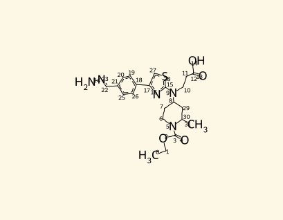 CCOC(=O)N1CCC(N(CCC(=O)O)c2nc(-c3ccc(C=NN)cc3)cs2)CC1C